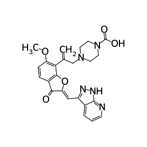 C=C(CN1CCN(C(=O)O)CC1)c1c(OC)ccc2c1O/C(=C\c1n[nH]c3ncccc13)C2=O